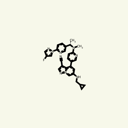 C[C@@H](c1ccc(-n2cc(F)cn2)nc1)N(C)c1ccc(-c2cc(NCC3CC3)cn3ncc(C#N)c23)cn1